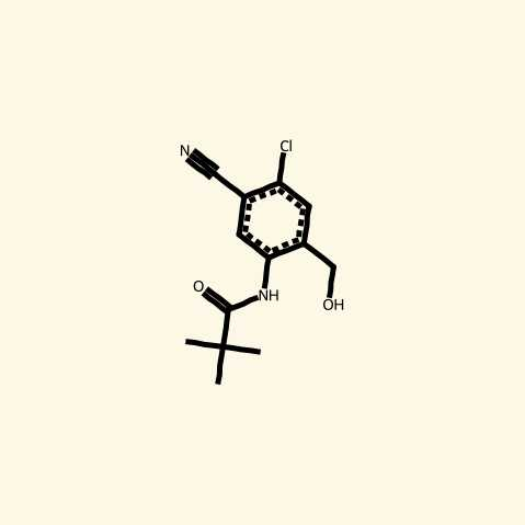 CC(C)(C)C(=O)Nc1cc(C#N)c(Cl)cc1CO